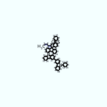 C#C/C(=C\C=C/C)C1(c2ccc3sc4ccccc4c3c2)c2ccccc2-c2c(-n3c4ccccc4c4cc(-c5ccc6c(c5)c5ccccc5n6-c5ccccc5)ccc43)cccc21